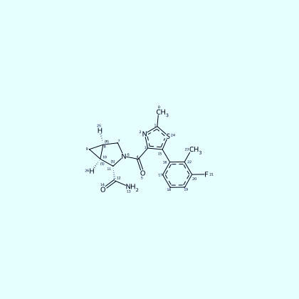 Cc1nc(C(=O)N2C[C@@H]3C[C@@H]3[C@H]2C(N)=O)c(-c2cccc(F)c2C)s1